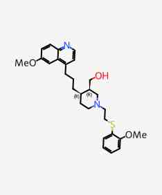 COc1ccc2nccc(CCC[C@@H]3CCN(CCSc4ccccc4OC)C[C@@H]3CO)c2c1